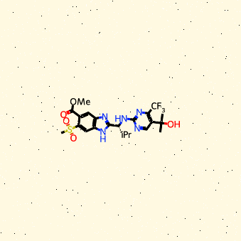 COC(=O)c1cc2nc([C@H](Nc3ncc(C(C)(C)O)c(C(F)(F)F)n3)C(C)C)[nH]c2cc1S(C)(=O)=O